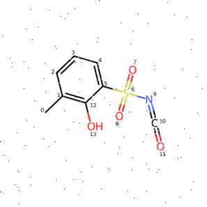 Cc1cccc(S(=O)(=O)N=C=O)c1O